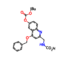 CC(C)(C)OC(=O)Oc1ccc2nc(CNC(=O)O)cc(OCc3ccccc3)c2c1